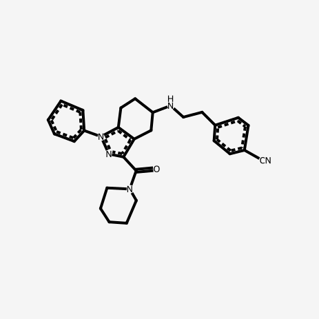 N#Cc1ccc(CCNC2CCc3c(c(C(=O)N4CCCCC4)nn3-c3ccccc3)C2)cc1